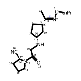 CCCO/N=C(\C)[C@H]1CC[C@@H](NCC(=O)N2CCC[C@H]2C#N)C1